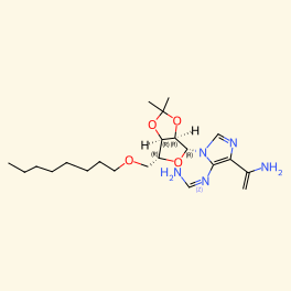 C=C(N)c1ncn([C@@H]2O[C@H](COCCCCCCCC)[C@H]3OC(C)(C)O[C@H]32)c1/N=C\N